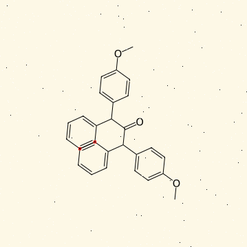 COc1ccc(C(C(=O)C(c2ccccc2)c2ccc(OC)cc2)c2ccccc2)cc1